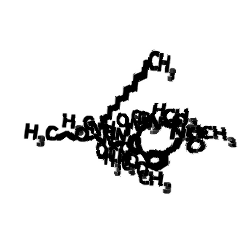 CCCCCCCCCCCCC(=O)N(C)[C@H](COCCCC)C(=O)N[C@H](C)C(=O)NCC(=O)N(C)[C@@H]1C(=O)N[C@@H](C)C(=O)N[C@H](C(=O)OC)Cc2ccc(OC)c(c2)-c2cc1ccc2OC